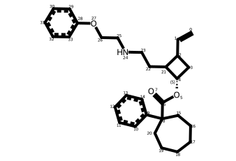 C=CC1C[C@H](OC(=O)C2(c3ccccc3)CCCCCC2)C1CCNCCOc1ccccc1